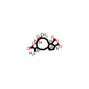 C=C1C(=O)O[C@@H]2[C@H]3O[C@]3(C)CC[C@@H]3C(=CC[C@@H]4C(=O)OC(=O)[C@@H]43)CC[C@@H]12